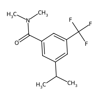 CC(C)c1cc(C(=O)N(C)C)cc(C(F)(F)F)c1